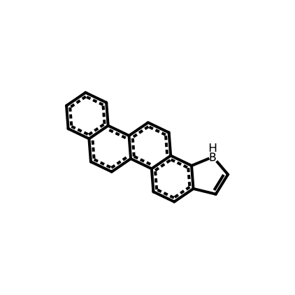 B1C=Cc2ccc3c(ccc4c5ccccc5ccc34)c21